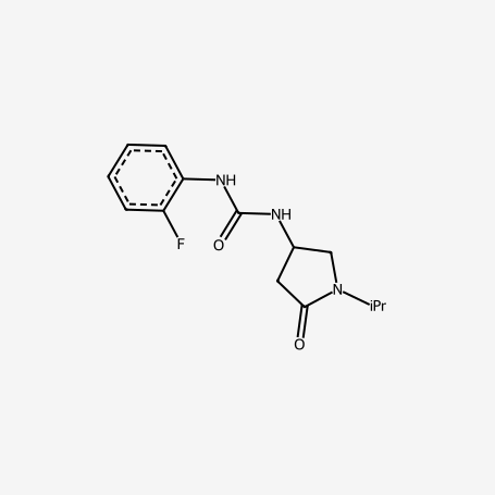 CC(C)N1CC(NC(=O)Nc2ccccc2F)CC1=O